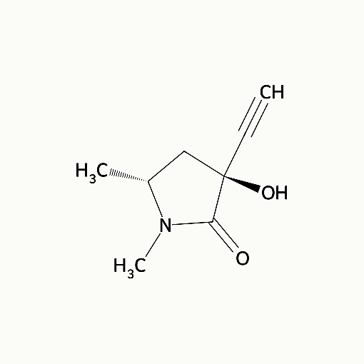 C#C[C@@]1(O)C[C@@H](C)N(C)C1=O